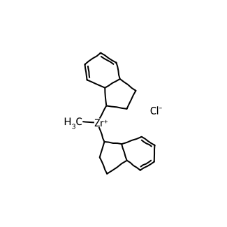 [CH3][Zr+]([CH]1CCC2C=CC=CC21)[CH]1CCC2C=CC=CC21.[Cl-]